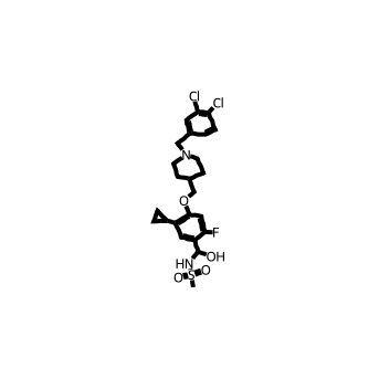 CS(=O)(=O)NC(O)c1cc(C2CC2)c(OCC2CCN(Cc3ccc(Cl)c(Cl)c3)CC2)cc1F